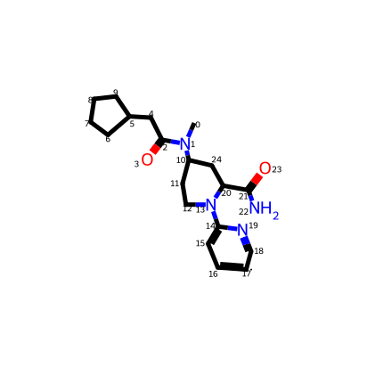 CN(C(=O)CC1CCCC1)C1CCN(c2cc[c]cn2)C(C(N)=O)C1